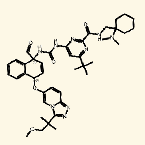 COCC(C)(C)c1nnc2ccc(O[C@@H]3C=C[C@](C=O)(NC(=O)Nc4cc(C(C)(C)C)nc(C(=O)NCC5(N(C)C)CCCCC5)n4)c4ccccc43)cn12